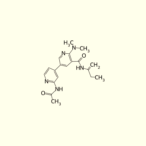 C=C(CC)NC(=O)c1cc(-c2ccnc(NC(C)=O)c2)cnc1N(C)C